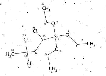 CCO[Si](OCC)(OCC)C(Cl)CC(C)(Cl)Cl